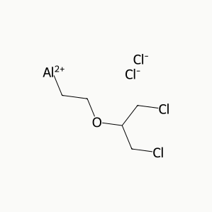 [Al+2][CH2]COC(CCl)CCl.[Cl-].[Cl-]